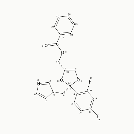 O=C(OC[C@@H]1CO[C@@](Cn2ccnc2)(c2ccc(F)cc2F)O1)c1ccccc1